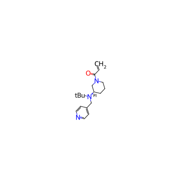 C=CC(=O)N1CCC[C@@H](N(Cc2ccncc2)C(C)(C)C)C1